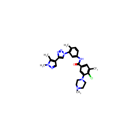 Cc1ccc(NC(=O)c2cc(N3CCN(C)CC3)c(Cl)c(C(F)(F)F)c2)cc1-n1cc(-c2cnn(C)c2C)nn1